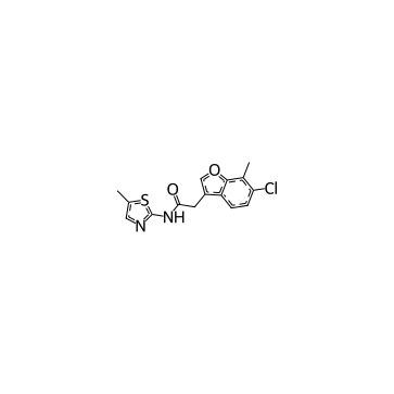 Cc1cnc(NC(=O)Cc2coc3c(C)c(Cl)ccc23)s1